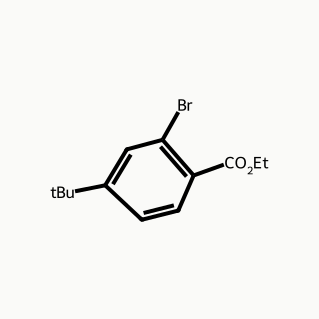 CCOC(=O)c1ccc(C(C)(C)C)cc1Br